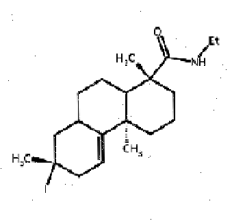 CCNC(=O)[C@]1(C)CCC[C@@]2(C)C3=CC[C@](C)(I)CC3CCC12